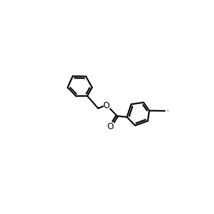 [CH2]c1ccc(C(=O)OCc2ccccc2)cc1